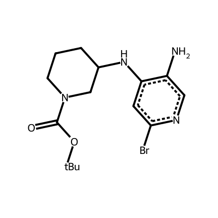 CC(C)(C)OC(=O)N1CCCC(Nc2cc(Br)ncc2N)C1